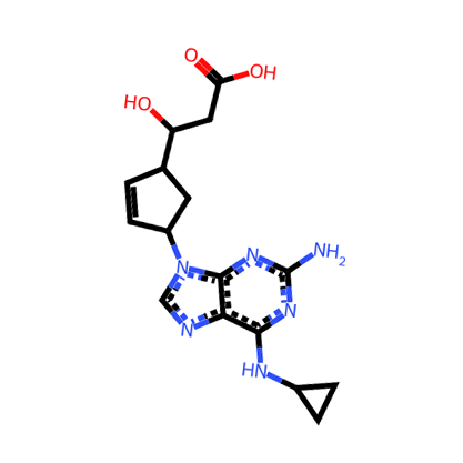 Nc1nc(NC2CC2)c2ncn(C3C=CC(C(O)CC(=O)O)C3)c2n1